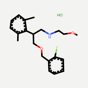 COCCNCC(COCc1ccccc1F)c1c(C)cccc1C.Cl